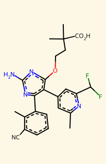 Cc1cc(-c2c(OCCC(C)(C)C(=O)O)nc(N)nc2-c2cccc(C#N)c2C)cc(C(F)F)n1